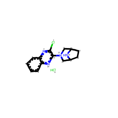 Cl.Clc1nc2ccccc2nc1N1CC2CCC(C1)N2